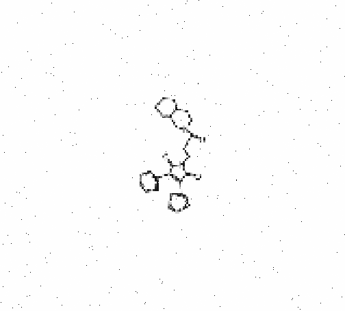 O=C(CCN1C(=O)C(c2ccccc2)=C(c2ccccc2)C1=O)N1CCC2CCCCC2C1